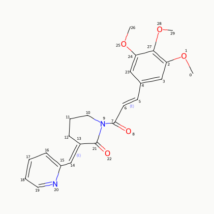 COc1cc(/C=C/C(=O)N2CCC/C(=C\c3ccccn3)C2=O)cc(OC)c1OC